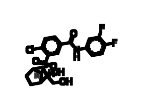 O=C(Nc1ccc(F)c(F)c1)c1ccc(Cl)c(S(=O)(=O)[C@@H]2C3CCC2C(O)(CO)C3)c1